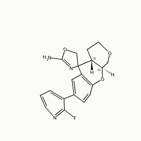 NC1=NC2(CO1)c1cc(-c3cccnc3F)ccc1O[C@@H]1COCC[C@H]12